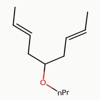 CC=CCC(CC=CC)OCCC